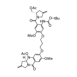 C=C1C[C@@H](COC(C)=O)N(C(=O)c2cc(OC)c(OCCCOc3cc4c(cc3OC)C(=O)N3CC(=C)C[C@H]3N4OC(C)=O)cc2NC(=O)OC(C)(C)C)C1